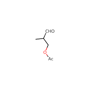 CC(=O)OCC(C)C=O